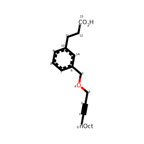 CCCCCCCCC#CCOCc1cccc(CCC(=O)O)c1